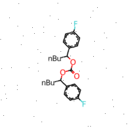 CCCCC(OC(=O)OC(CCCC)c1ccc(F)cc1)c1ccc(F)cc1